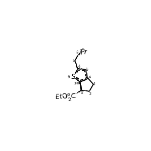 CCOC(=O)C1CCc2cc(CC(C)C)sc21